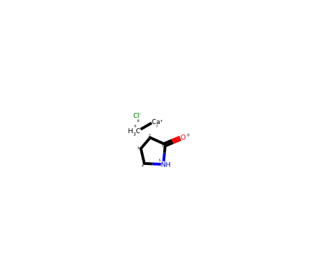 O=C1CCCN1.[CH3][Ca+].[Cl-]